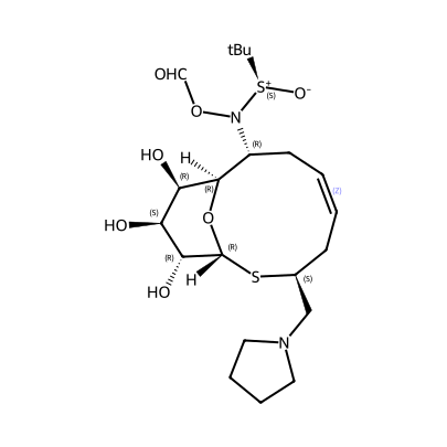 CC(C)(C)[S@@+]([O-])N(OC=O)[C@@H]1C/C=C\C[C@@H](CN2CCCC2)S[C@H]2O[C@H]1[C@H](O)[C@H](O)[C@H]2O